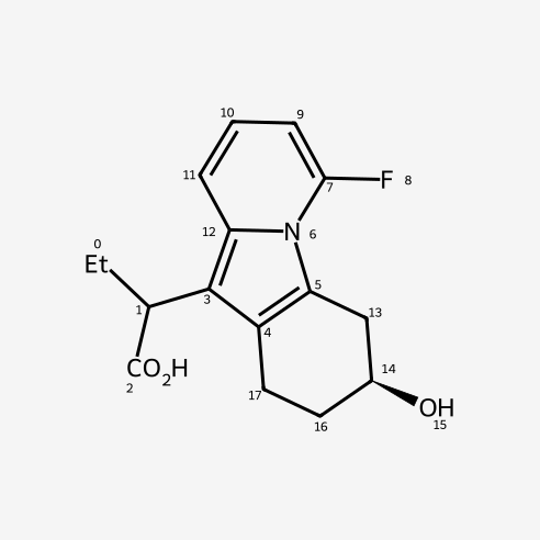 CCC(C(=O)O)c1c2c(n3c(F)cccc13)C[C@@H](O)CC2